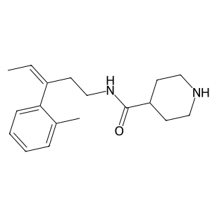 C/C=C(/CCNC(=O)C1CCNCC1)c1ccccc1C